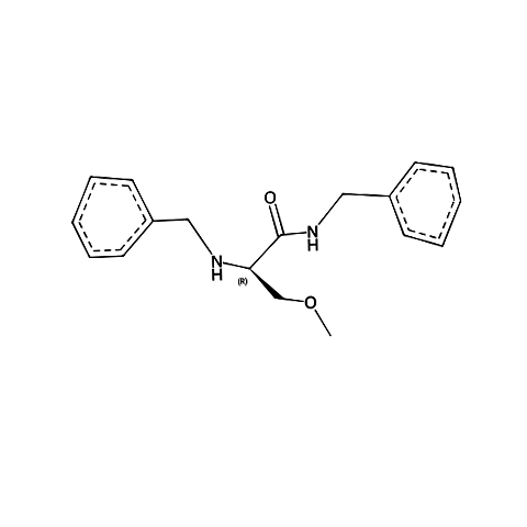 COC[C@@H](NCc1ccccc1)C(=O)NCc1ccccc1